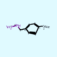 COc1ccc(CPP)cc1